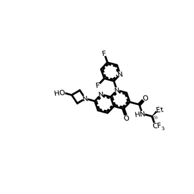 CC[C@H](NC(=O)c1cn(-c2ncc(F)cc2F)c2nc(N3CC(O)C3)ccc2c1=O)C(F)(F)F